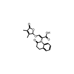 CC1=C(C)C(O/C=C(/C(=O)O)N2C(=O)CCc3ccccc32)OC1=O